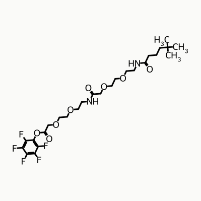 CC(C)(C)CCCC(=O)NCCOCCOCC(=O)NCCOCCOCC(=O)Oc1c(F)c(F)c(F)c(F)c1F